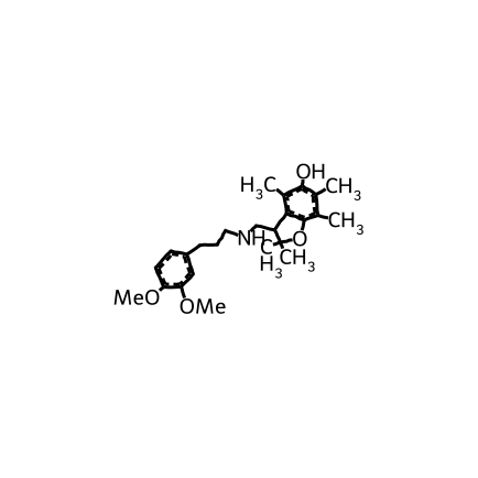 COc1ccc(CCCNCC2c3c(C)c(O)c(C)c(C)c3OC2(C)C)cc1OC